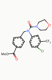 COC(=O)c1ccc(CN(C(=O)N2CCOCC2)c2ccc(Cl)c(C(F)(F)F)c2)cc1